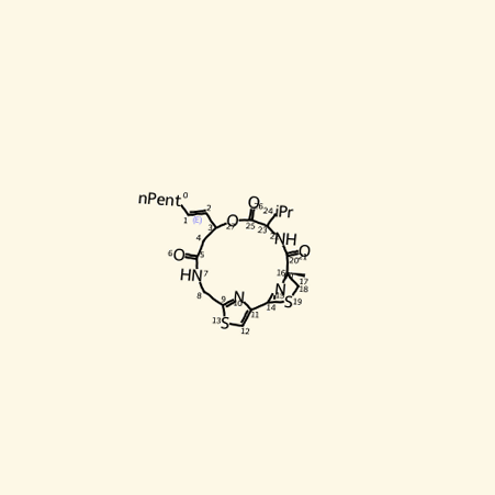 CCCCC/C=C/C1CC(=O)NCc2nc(cs2)C2=N[C@@](C)(CS2)C(=O)NC(C(C)C)C(=O)O1